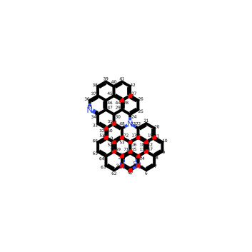 C1=Cc2ncc3ccc4ccccc4c3c2C(c2ccccc2N(c2ccccc2C2CC=Cc3ncc4ccc5ccccc5c4c32)c2ccccc2C2CC=Cc3ncc4ccc5ccccc5c4c32)C1